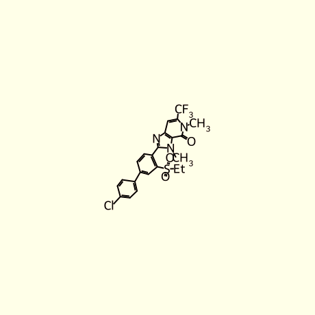 CCS(=O)(=O)c1cc(-c2ccc(Cl)cc2)ccc1-c1nc2cc(C(F)(F)F)n(C)c(=O)c2n1C